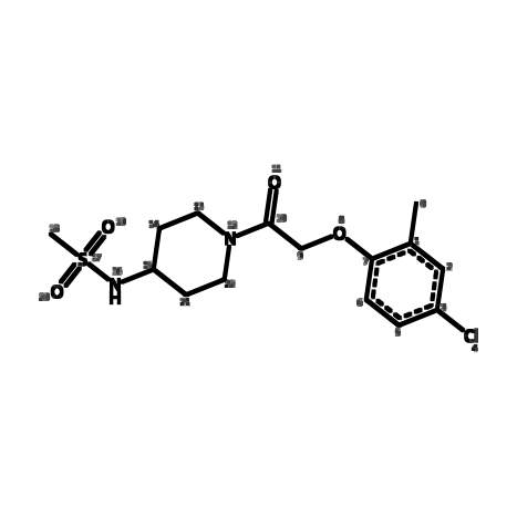 Cc1cc(Cl)ccc1OCC(=O)N1CCC(NS(C)(=O)=O)CC1